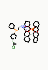 NCCP(c1ccccc1)c1ccccc1.[Cl][Ru][Cl].c1ccc(P(c2ccccc2)c2ccc3ccccc3c2-c2c(P(c3ccccc3)c3ccccc3)ccc3ccccc23)cc1